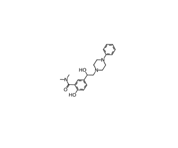 CN(C)C(=O)c1cc(C(O)CN2CCN(c3ccccc3)CC2)ccc1O